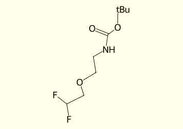 CC(C)(C)OC(=O)NCCOCC(F)F